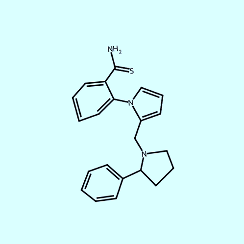 NC(=S)c1ccccc1-n1cccc1CN1CCCC1c1ccccc1